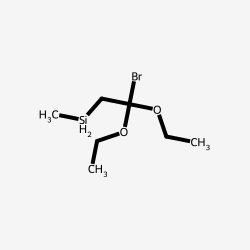 CCOC(Br)(C[SiH2]C)OCC